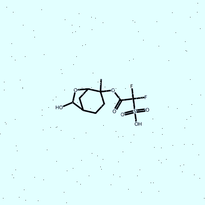 CC1(OC(=O)C(F)(F)S(=O)(=O)O)CCC2CC1OC2O